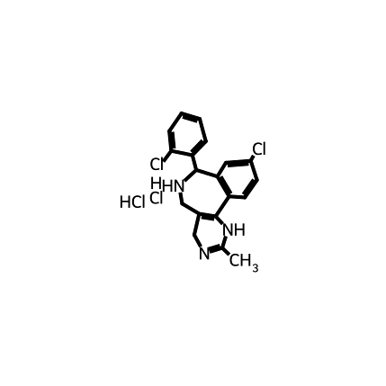 CC1=NCC2=C(N1)c1ccc(Cl)cc1C(c1ccccc1Cl)NC2.Cl.Cl